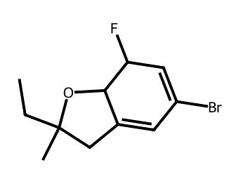 CCC1(C)CC2=CC(Br)=CC(F)C2O1